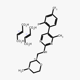 Cc1nc(NC[C@@H]2CN(C)CCO2)ncc1-c1ccc(C(F)(F)F)cc1F.O=C(O)/C=C/C(=O)O.O=C(O)/C=C/C(=O)O